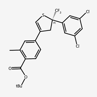 Cc1cc(C2=CS[C@](c3cc(Cl)cc(Cl)c3)(C(F)(F)F)C2)ccc1C(=O)OC(C)(C)C